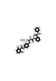 O=C(Nc1ccccc1C(=O)Nc1ccccc1)N[C@@H](Cc1ccc(NC(=O)c2c(Cl)cccc2Cl)cc1)C(=O)O